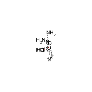 CC[C@H](CC[C@@H](C)C1CCC2C3CC=C4CC(OC(=O)CCCC(=O)N(CCCN)CCCCCCCCN)CCC4(C)C3CCC21C)C(C)C.Cl.Cl